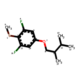 CSc1c(F)cc(OCC(C)C(C)C)cc1F